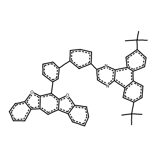 CC(C)(C)c1ccc2c3ccc(C(C)(C)C)cc3c3nc(-c4cccc(-c5cccc(-c6c7oc8ccccc8c7cc7c6oc6ccccc67)c5)c4)cnc3c2c1